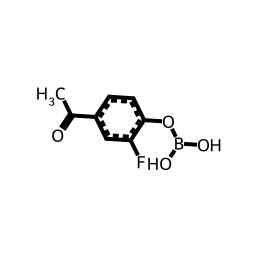 CC(=O)c1ccc(OB(O)O)c(F)c1